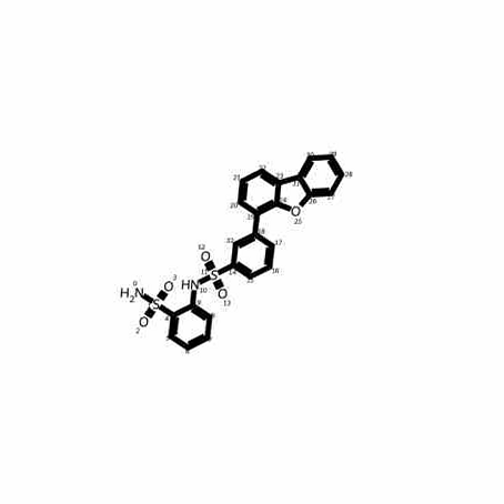 NS(=O)(=O)c1ccccc1NS(=O)(=O)c1cccc(-c2cccc3c2oc2ccccc23)c1